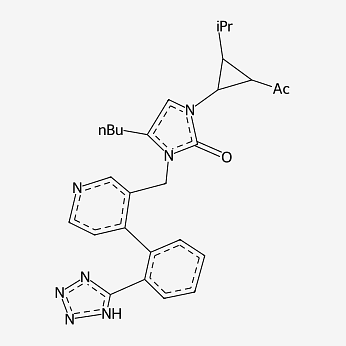 CCCCc1cn(C2C(C(C)=O)C2C(C)C)c(=O)n1Cc1cnccc1-c1ccccc1-c1nnn[nH]1